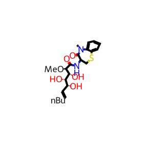 CCCC/C=C/[C@@H](O)[C@H](O)[C@@H](O)[C@@H](OC)C(=O)NC1CSc2ccccc2N(C)C1=O